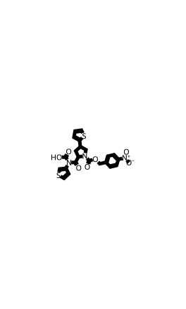 O=C(O)N(C(=O)C1CC(c2cccs2)CN1C(=O)OCc1ccc([N+](=O)[O-])cc1)c1ccsc1